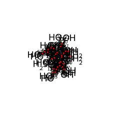 C[SiH2]OC(CC[Si](CCC(O[SiH2]C)(O[SiH2]C)[Si](O[Si](C)(C)CCCO)(O[Si](C)(C)CCCO)O[Si](C)(C)CCCO)(CCC(O[SiH2]C)(O[SiH2]C)[Si](O[Si](C)(C)CCCO)(O[Si](C)(C)CCCO)O[Si](C)(C)CCCO)CCC(O[SiH2]C)(O[SiH2]C)[Si](O[Si](C)(C)CCCO)(O[Si](C)(C)CCCO)O[Si](C)(C)CCCO)(O[SiH2]C)[Si](O[Si](C)(C)CCCO)(O[Si](C)(C)CCCO)O[Si](C)(C)CCCO